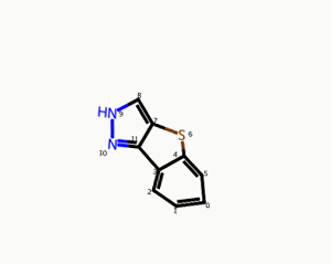 c1ccc2c(c1)sc1c[nH]nc12